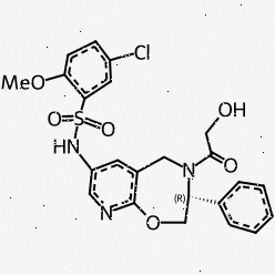 COc1ccc(Cl)cc1S(=O)(=O)Nc1cnc2c(c1)CN(C(=O)CO)[C@H](c1ccccc1)CO2